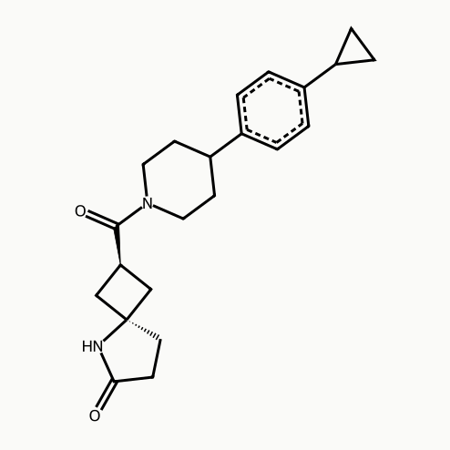 O=C1CC[C@]2(C[C@H](C(=O)N3CCC(c4ccc(C5CC5)cc4)CC3)C2)N1